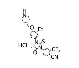 CCc1cc(N2C(=S)N(c3ccc(C#N)c(C(F)(F)F)c3)C(=O)C2(C)C)ccc1OCC1CCNCC1.Cl